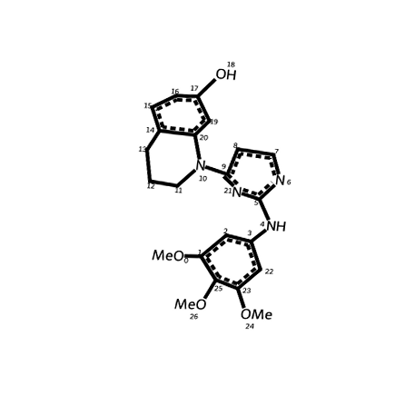 COc1cc(Nc2nccc(N3CCCc4ccc(O)cc43)n2)cc(OC)c1OC